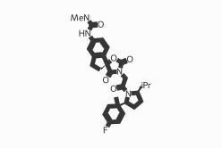 CNC(=O)Nc1ccc2c(c1)CC[C@@]21OC(=O)N(CC(=O)N2[C@@H](C(C)C)CC[C@H]2C2(C)C=CC(F)=CC2)C1=O